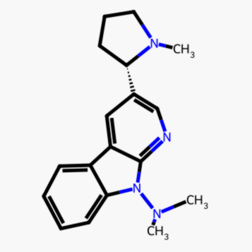 CN1CCC[C@H]1c1cnc2c(c1)c1ccccc1n2N(C)C